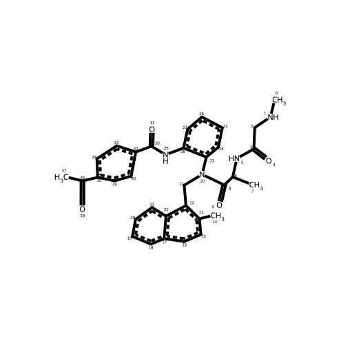 CNCC(=O)NC(C)C(=O)N(Cc1c(C)ccc2ccccc12)c1ccccc1NC(=O)c1ccc(C(C)=O)cc1